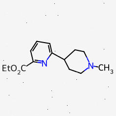 CCOC(=O)c1cccc(C2CCN(C)CC2)n1